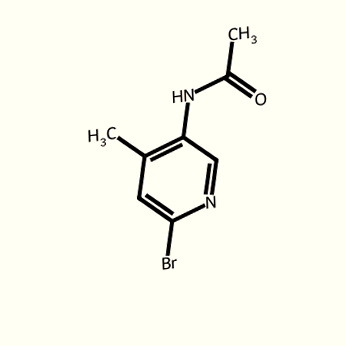 CC(=O)Nc1cnc(Br)cc1C